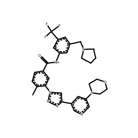 Cc1ccc(C(=O)Nc2cc(CN3CCCC3)cc(C(F)(F)F)c2)cc1-n1cc(-c2cncc(N3CCOCC3)c2)nn1